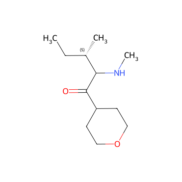 CC[C@H](C)C(NC)C(=O)C1CCOCC1